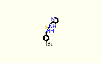 CC(C)(C)c1ccc(CNC(=S)NCc2ccccn2)cc1